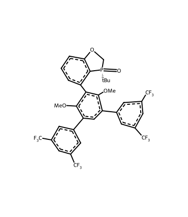 COc1c(-c2cc(C(F)(F)F)cc(C(F)(F)F)c2)cc(-c2cc(C(F)(F)F)cc(C(F)(F)F)c2)c(OC)c1-c1cccc2c1[P@@](=O)(C(C)(C)C)CO2